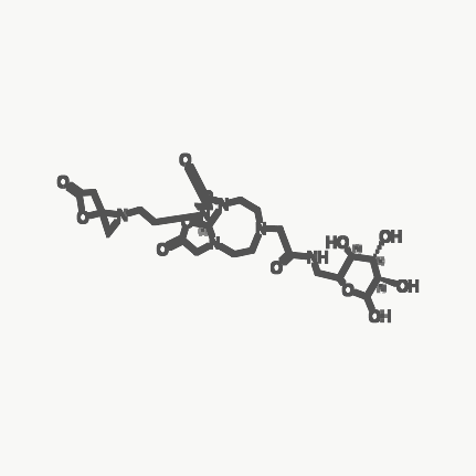 O=C(CN1CCN2CC(=O)O[C@@]23CN(CCN2CC24CC(=O)O4)CC(=O)ON3CC1)NCC1OC(O)[C@H](O)[C@@H](O)[C@@H]1O